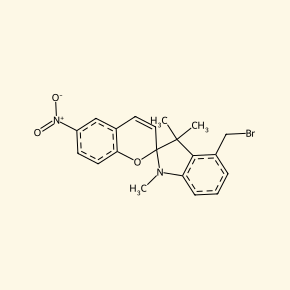 CN1c2cccc(CBr)c2C(C)(C)C12C=Cc1cc([N+](=O)[O-])ccc1O2